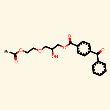 CCC(C)C(=O)OCCOCC(O)COC(=O)c1ccc(C(=O)c2ccccc2)cc1